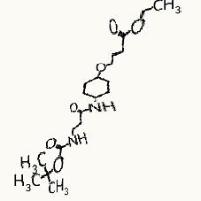 CCOC(=O)/C=C/CO[C@H]1CC[C@H](NC(=O)CCNC(=O)OC(C)(C)C)CC1